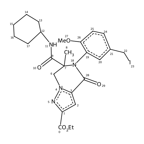 CCOC(=O)c1cc2n(n1)CC(C)(C(=O)NC1CCCCC1)N(c1cc(CI)ccc1OC)C2=O